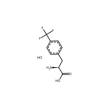 Cl.N[C@@H](Cc1ccc(C(F)(F)F)cc1)C(=O)O